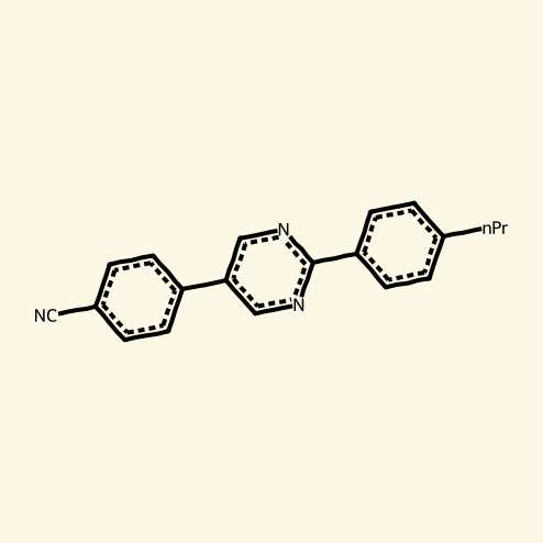 CCCc1ccc(-c2ncc(-c3ccc(C#N)cc3)cn2)cc1